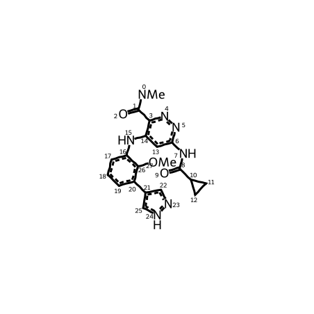 CNC(=O)c1nnc(NC(=O)C2CC2)cc1Nc1cccc(-c2cn[nH]c2)c1OC